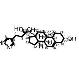 CC(O)(CCc1cn[nH]c1)[C@H]1CC[C@H]2[C@@H]3CC=C4C[C@@H](O)CC[C@]4(C)[C@H]3CC[C@]12C